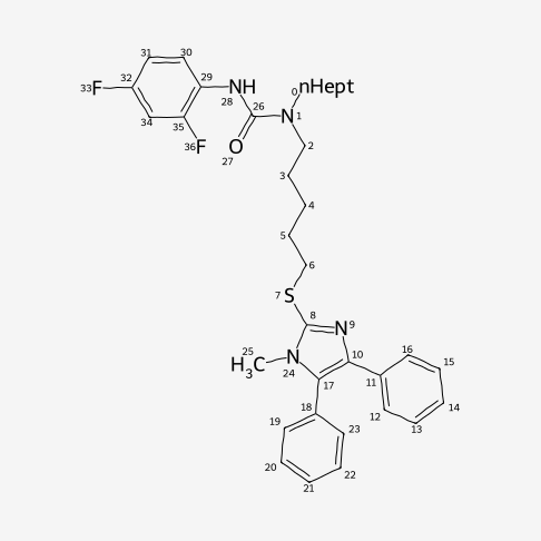 CCCCCCCN(CCCCCSc1nc(-c2ccccc2)c(-c2ccccc2)n1C)C(=O)Nc1ccc(F)cc1F